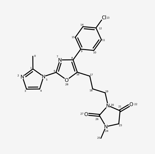 Cc1nccn1-c1nc(-c2ccc(Cl)cc2)c(CCCN2C(=O)CN(C)C2=O)o1